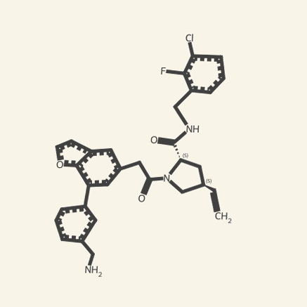 C=C[C@@H]1C[C@@H](C(=O)NCc2cccc(Cl)c2F)N(C(=O)Cc2cc(-c3cccc(CN)c3)c3occc3c2)C1